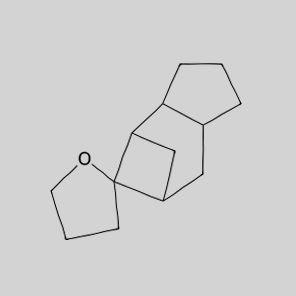 C1CC2CC3CC(C2C1)C31CCCO1